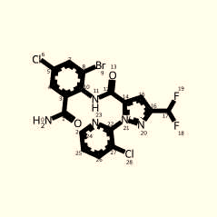 NC(=O)c1cc(Cl)cc(Br)c1NC(=O)c1cc(C(F)F)nn1-c1ncccc1Cl